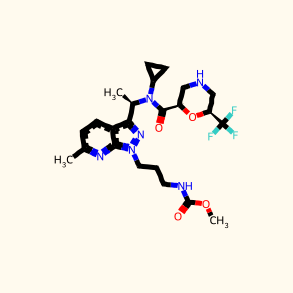 COC(=O)NCCCn1nc([C@@H](C)N(C(=O)[C@H]2CNC[C@@H](C(F)(F)F)O2)C2CC2)c2ccc(C)nc21